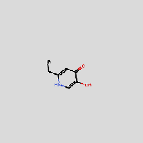 CC(C)Cc1cc(=O)c(O)c[nH]1